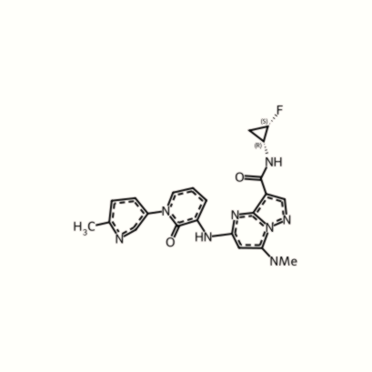 CNc1cc(Nc2cccn(-c3ccc(C)nc3)c2=O)nc2c(C(=O)N[C@@H]3C[C@@H]3F)cnn12